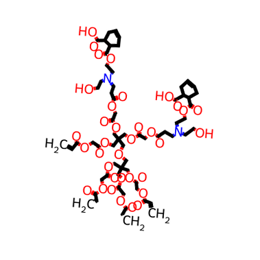 C=CC(=O)OCC(=O)OCC(COCC(COC(=O)COC(=O)C=C)(COC(=O)COC(=O)CCN(CCO)CCOC(=O)C1CC=CCC1C(=O)O)COC(=O)COC(=O)CCN(CCO)CCOC(=O)C1CC=CCC1C(=O)O)(COC(=O)COC(=O)C=C)COC(=O)COC(=O)C=C